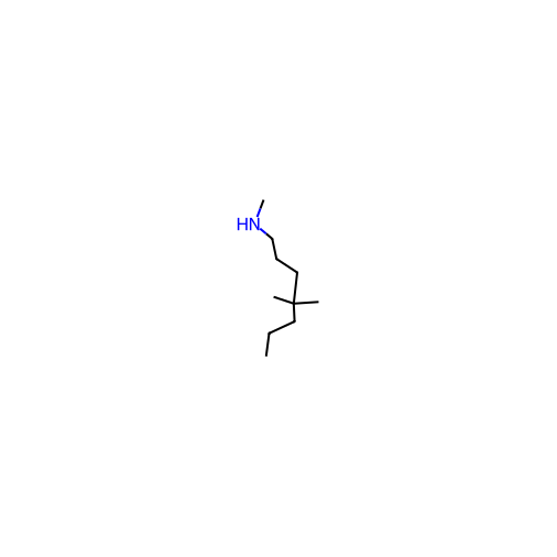 CCCC(C)(C)CCCNC